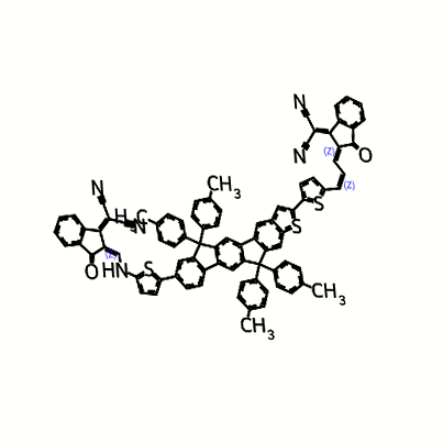 Cc1ccc(C2(c3ccc(C)cc3)c3cc(-c4ccc(N/C=C5\C(=O)c6ccccc6C5=C(C#N)C#N)s4)ccc3-c3cc4c(cc32)-c2cc3cc(-c5ccc(/C=C\C=C6/C(=O)c7ccccc7C6=C(C#N)C#N)s5)sc3cc2C4(c2ccc(C)cc2)c2ccc(C)cc2)cc1